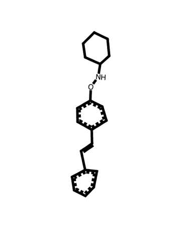 C(=C\c1ccc(ONC2CCCCC2)cc1)/c1ccccc1